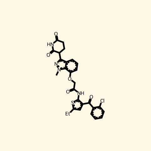 CCc1cc(C(=O)c2ccccc2Cl)c(NC(=O)COc2cccc3c(C4CCC(=O)NC4=O)nn(C)c23)s1